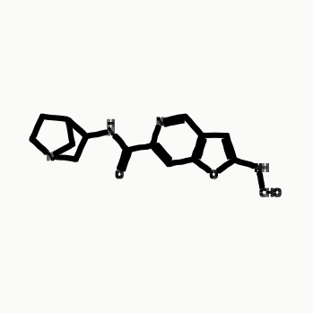 O=CNc1cc2cnc(C(=O)NC3CN4CCC3C4)cc2o1